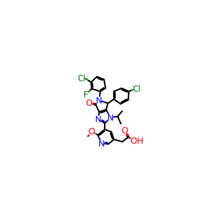 COc1ncc(CC(=O)O)cc1-c1nc2c(n1C(C)C)C(c1ccc(Cl)cc1)N(c1cccc(Cl)c1F)C2=O